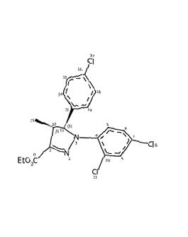 CCOC(=O)C1=NN(c2ccc(Cl)cc2Cl)[C@H](c2ccc(Cl)cc2)[C@@H]1C